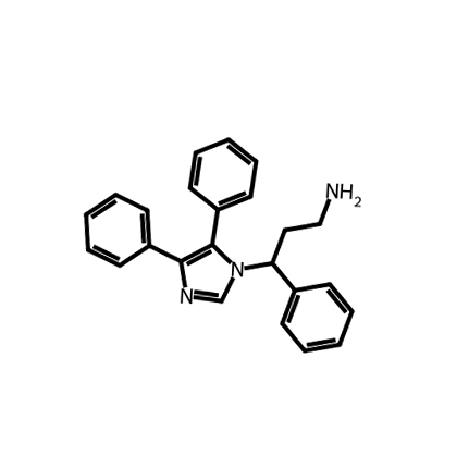 NCCC(c1ccccc1)n1cnc(-c2ccccc2)c1-c1ccccc1